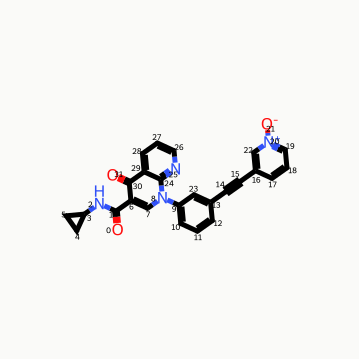 O=C(NC1CC1)c1cn(-c2cccc(C#Cc3ccc[n+]([O-])c3)c2)c2ncccc2c1=O